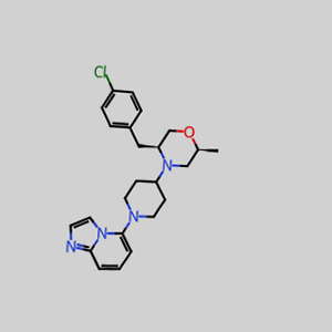 C[C@H]1CN(C2CCN(c3cccc4nccn34)CC2)[C@@H](Cc2ccc(Cl)cc2)CO1